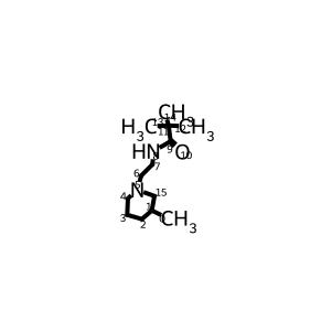 CC1CCCN(CCNC(=O)C(C)(C)C)C1